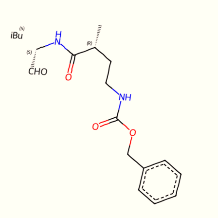 CC[C@H](C)[C@@H](C=O)NC(=O)[C@H](C)CCNC(=O)OCc1ccccc1